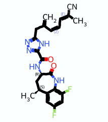 C=C(/C=C\C=C(/C)C#N)Cc1nnc(C(=O)N[C@@H]2C[C@H](C)c3cc(F)cc(F)c3NC2=O)[nH]1